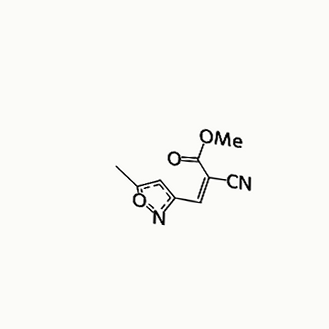 COC(=O)/C(C#N)=C\c1cc(C)on1